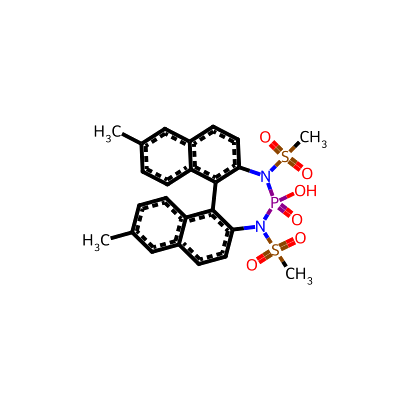 Cc1ccc2c3c(ccc2c1)N(S(C)(=O)=O)P(=O)(O)N(S(C)(=O)=O)c1ccc2cc(C)ccc2c1-3